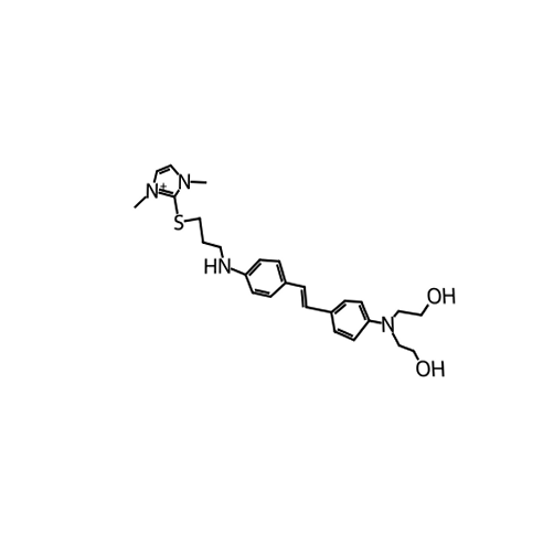 Cn1cc[n+](C)c1SCCCNc1ccc(/C=C/c2ccc(N(CCO)CCO)cc2)cc1